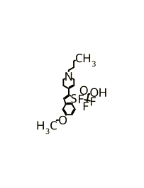 CCCCN1CC=C(c2cc3cc(OCC)ccc3s2)CC1.O=C(O)C(F)(F)F